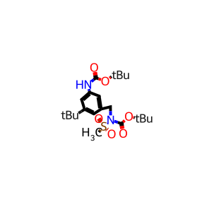 CC(C)(C)OC(=O)Nc1cc(CN(C(=O)OC(C)(C)C)S(C)(=O)=O)cc(C(C)(C)C)c1